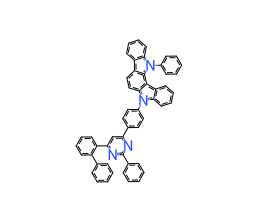 c1ccc(-c2nc(-c3ccc(-n4c5ccccc5c5c4ccc4c6ccccc6n(-c6ccccc6)c45)cc3)cc(-c3ccccc3-c3ccccc3)n2)cc1